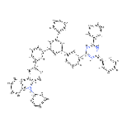 c1ccc(-c2cc(-c3cccc(-c4ccc5c(c4)c4ccccc4n5-c4ccccc4)c3)cc(-c3cccc(-c4nc(-c5ccccc5)nc(-c5ccccc5)n4)c3)c2)cc1